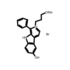 COCCC[n+]1ccc2c([nH]c3ccc(O)cc32)c1-c1ccccc1.[Br-]